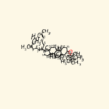 CC(C)=CCC[C@H](CCCC(C)C)[C@H]1CC[C@H]2C3=CC=C4CC(O[Si](C)(C)C(C)(C)C)CC[C@]4(C)[C@H]3CC[C@]12C